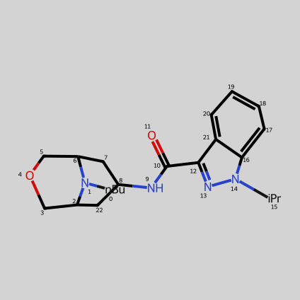 CCCCN1C2COCC1CC(NC(=O)c1nn(C(C)C)c3ccccc13)C2